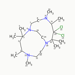 CC1CC(C)(C)N2CCN(C)C(C)C(Cl)(Cl)C(C)(C)N(CCN1C)CC2